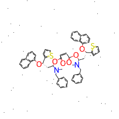 CN(Cc1ccccc1)C(C[C@H](Oc1cccc2ccccc12)c1cccs1)OC(=O)/C=C\C(=O)OC(C[C@H](Oc1cccc2ccccc12)c1cccs1)N(C)Cc1ccccc1